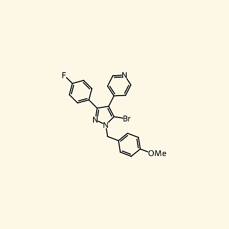 COc1ccc(Cn2nc(-c3ccc(F)cc3)c(-c3ccncc3)c2Br)cc1